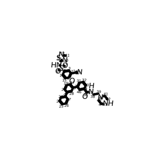 N#Cc1cc(S(=O)(=O)Nc2ncns2)ccc1Oc1ccc(-c2ccccc2)cc1-c1cccc(C(=O)NCCN2CCNCC2)c1